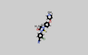 CN1CCC(Oc2ccc(N3C(=S)N(c4ccc(C#N)c(Cl)c4)C(=O)C3(C)C)cc2)CC1